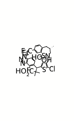 CCn1nnc2c(F)c([C@@H](c3cc(CN4C[C@@H](C)Cc5ccc(C(F)(F)F)cc5S4(O)O)c(Cl)s3)C(C)(C)C(=O)O)ccc21